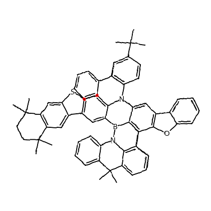 CC(C)(C)c1ccc(N2c3cc4sc5cc6c(cc5c4cc3B3c4c2cc2c(oc5ccccc52)c4-c2cccc4c2N3c2ccccc2C4(C)C)C(C)(C)CCC6(C)C)c(-c2ccccc2)c1